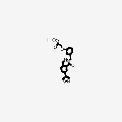 COC(=O)COc1cccc(Cn2ncc3ccc(-c4cn[nH]c4)cc3c2=O)c1